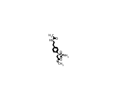 COC(=O)CN(c1ccc(CCNC(C)=O)cc1)S(N)(=O)=O